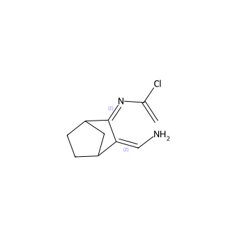 C=C(Cl)/N=C1\C(=C/N)C2CCC1C2